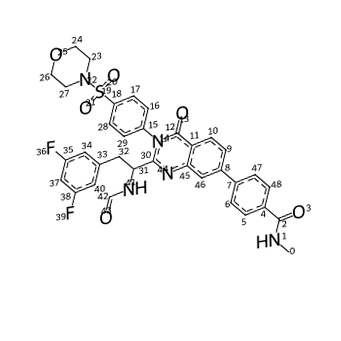 CNC(=O)c1ccc(-c2ccc3c(=O)n(-c4ccc(S(=O)(=O)N5CCOCC5)cc4)c(C(Cc4cc(F)cc(F)c4)NC=O)nc3c2)cc1